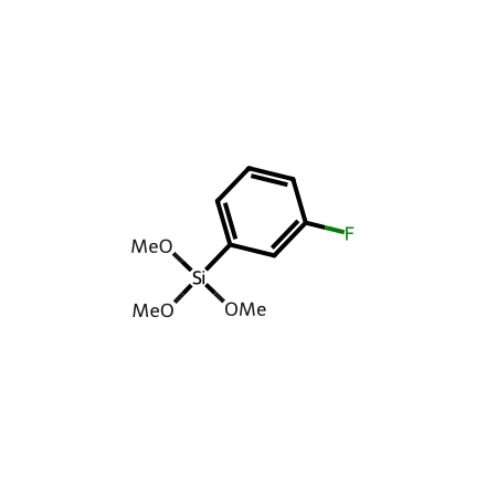 CO[Si](OC)(OC)c1cccc(F)c1